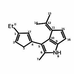 CCC1=CCC(c2c(C)[nH]c3c2C(=C(C)C)C=C3)=C1